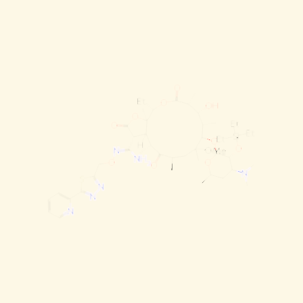 CC[C@@H]1OC(=O)[C@H](C)[C@H](O)[C@H](C)[C@@H](OC2O[C@H](C)C[C@H](N(C)C)[C@H]2O[Si](CC)(CC)CC)[C@](C)(OC)C[C@@H](C)C(=O)[C@H](C)[C@H]2[C@H](/C(N)=N/OCc3nnc(-c4ccccn4)s3)C(=O)O[C@]21C